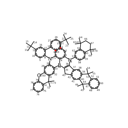 Cc1cc2c3c(c1)N(c1ccc(C(C)(C)C)cc1-c1ccc(C(C)(C)C)cc1)c1cc4c(cc1B3C1=C(c3cc5c(cc3C1)C(C)(C)c1ccccc1C5(C)C)N2c1ccc2c(c1)C(C)(C)CCC2(C)C)C(C)(C)c1ccccc1O4